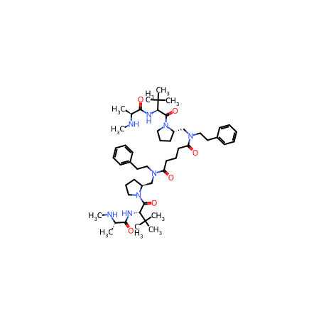 CN[C@@H](C)C(=O)N[C@H](C(=O)N1CCC[C@H]1CN(CCc1ccccc1)C(=O)CCCC(=O)N(CCc1ccccc1)C[C@@H]1CCCN1C(=O)[C@@H](NC(=O)[C@H](C)NC)C(C)(C)C)C(C)(C)C